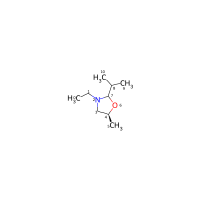 CCN1C[C@H](C)OC1C(C)C